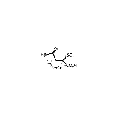 CCOCC.NC(=O)CC(C(=O)O)S(=O)(=O)O